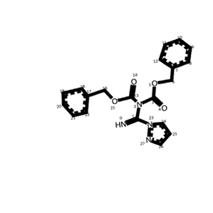 N=C(N(C(=O)OCc1ccccc1)C(=O)OCc1ccccc1)n1cccn1